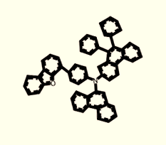 c1ccc(-c2c(-c3ccccc3)c3cc(N(c4ccc(-c5cccc6c5oc5ccccc56)cc4)c4cc5ccccc5c5ccccc45)ccc3c3ccccc23)cc1